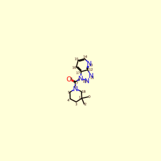 CC1(C)CCCN(C(=O)n2nnc3ncccc32)C1